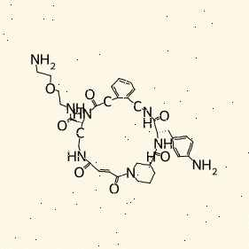 NCCOCCNC(=O)[C@@H]1CCNC(=O)/C=C/C(=O)N2CCC[C@H](C2)C(=O)N[C@@H](Cc2ccc(N)cc2)C(=O)NCc2ccccc2CC(=O)N1